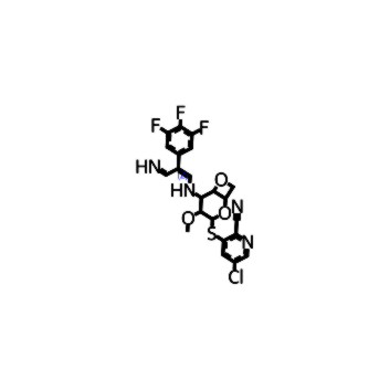 COC1C(Sc2cc(Cl)cnc2C#N)OC2COC2C1N/C=C(\C=N)c1cc(F)c(F)c(F)c1